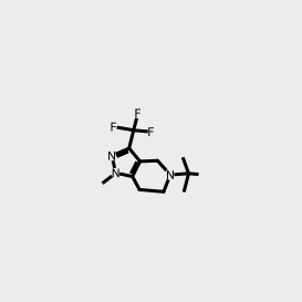 Cn1nc(C(F)(F)F)c2c1CCN(C(C)(C)C)C2